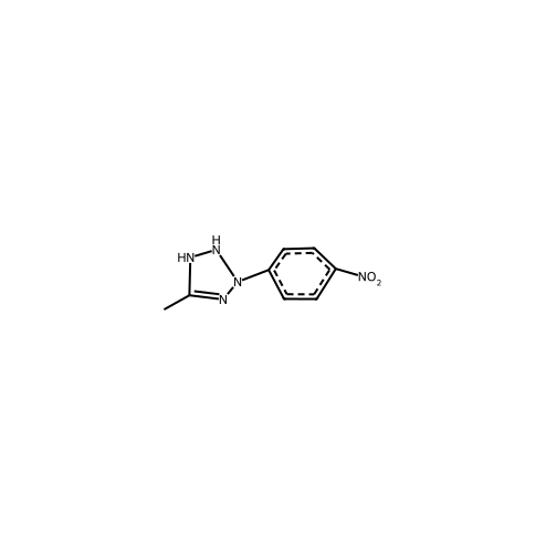 CC1=NN(c2ccc([N+](=O)[O-])cc2)NN1